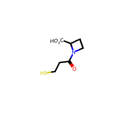 O=C(O)C1CCN1C(=O)CCS